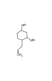 C=CCC1CCC(CCC)CC1CCC